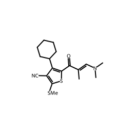 CSc1sc(C(=O)/C(C)=C/N(C)C)c(C2CCCCC2)c1C#N